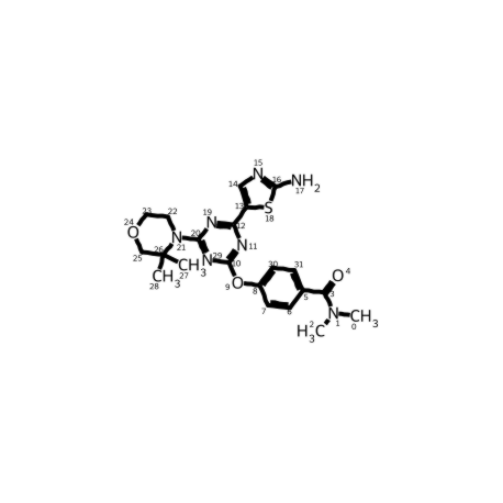 CN(C)C(=O)c1ccc(Oc2nc(-c3cnc(N)s3)nc(N3CCOCC3(C)C)n2)cc1